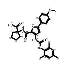 COc1ccc(-c2cc(NC(=O)Nc3c(C)cc(C)cc3C)c(C(=O)NC3(C(=O)O)CCCC3)s2)cc1